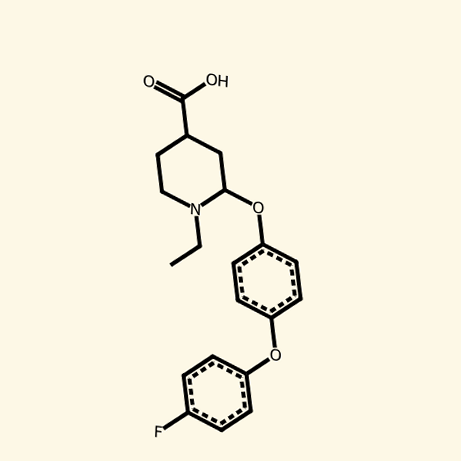 CCN1CCC(C(=O)O)CC1Oc1ccc(Oc2ccc(F)cc2)cc1